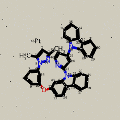 Cc1cc(C)n(-c2cccc(Oc3ccc4c5ccccc5n(-c5cc(-n6c7ccccc7c7ccccc76)ccn5)c4c3)c2)n1.[Pt]